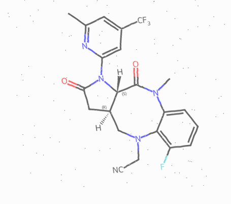 Cc1cc(C(F)(F)F)cc(N2C(=O)C[C@@H]3CN(CC#N)c4c(F)cccc4N(C)C(=O)[C@H]32)n1